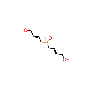 O=[PH](CC=CCO)CC=CCO